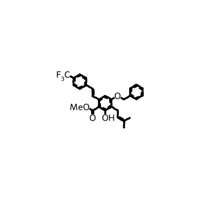 COC(=O)c1c(C=Cc2ccc(C(F)(F)F)cc2)cc(OCc2ccccc2)c(CC=C(C)C)c1O